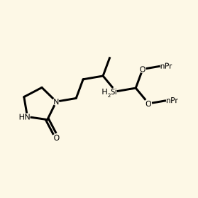 CCCOC(OCCC)[SiH2]C(C)CCN1CCNC1=O